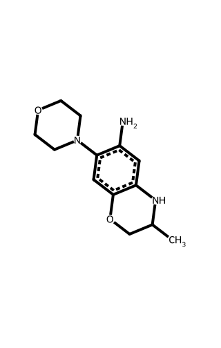 CC1COc2cc(N3CCOCC3)c(N)cc2N1